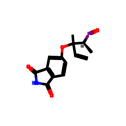 C=CC(C)(Oc1ccc2c(c1)C(=O)NC2=O)[C@H](C)P=O